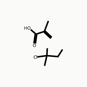 C=C(C)C(=O)O.CCC(C)(C)Cl